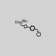 CCN(CC1CC(c2ccc(CN3CCCC3)cc2)C1)C(C)(C)C